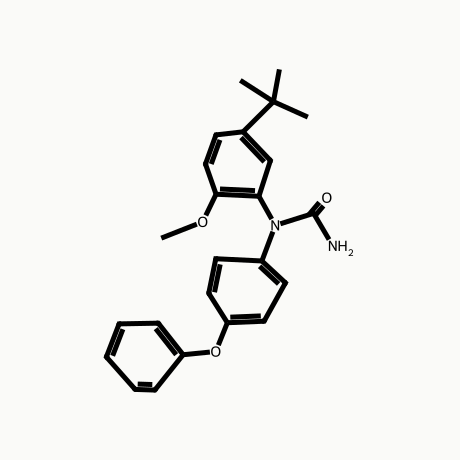 COc1ccc(C(C)(C)C)cc1N(C(N)=O)c1ccc(Oc2ccccc2)cc1